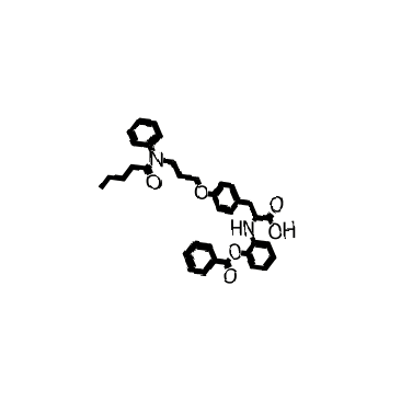 CCCCC(=O)N(CCCOc1ccc(CC(Nc2ccccc2OC(=O)c2ccccc2)C(=O)O)cc1)c1ccccc1